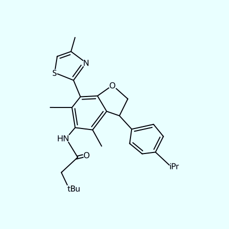 Cc1csc(-c2c(C)c(NC(=O)CC(C)(C)C)c(C)c3c2OCC3c2ccc(C(C)C)cc2)n1